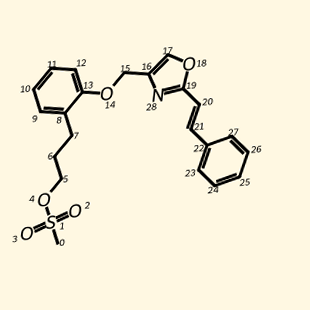 CS(=O)(=O)OCCCc1ccccc1OCc1coc(C=Cc2ccccc2)n1